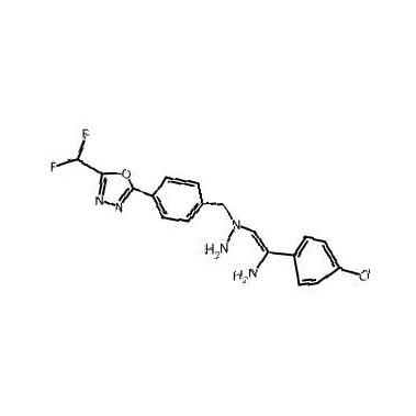 N/C(=C\N(N)Cc1ccc(-c2nnc(C(F)F)o2)cc1)c1ccc(Cl)cc1